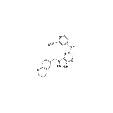 CN(c1ccnc(C#N)c1)c1cnc2c(n1)N(Cc1ccc3ncccc3c1)NN2